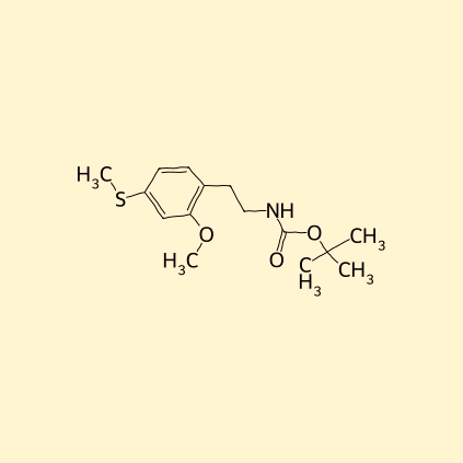 COc1cc(SC)ccc1CCNC(=O)OC(C)(C)C